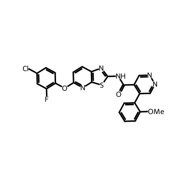 COc1ccccc1-c1cnncc1C(=O)Nc1nc2ccc(Oc3ccc(Cl)cc3F)nc2s1